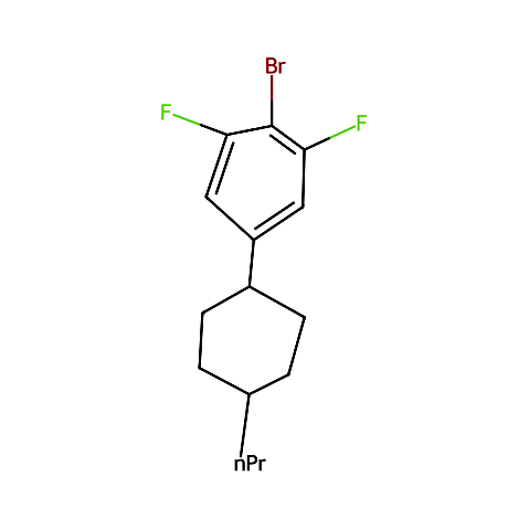 CCCC1CCC(c2cc(F)c(Br)c(F)c2)CC1